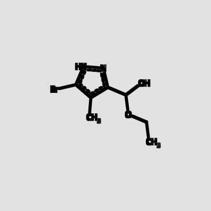 CCOC(O)c1n[nH]c(Br)c1C